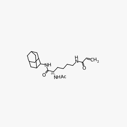 C=CC(=O)NCCCC[C@H](NC(C)=O)C(=O)NC1C2CC3CC(C2)CC1C3